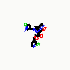 O=C(COCc1ccnc(Cl)c1)c1c([O-])[n+]2ccccc2n1Cc1ccc(Cl)nc1